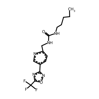 CCCCCNC(=O)NCc1ccc(-c2noc(C(F)(F)F)n2)cn1